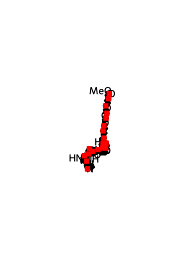 COC(=O)CCCCCOCCOCCOCCCCCCOc1ccc2c(c1)[C@@H](NC(=O)c1cccc(NCC(=N)N(C)C(=N)c3ccncn3)c1)CCO2